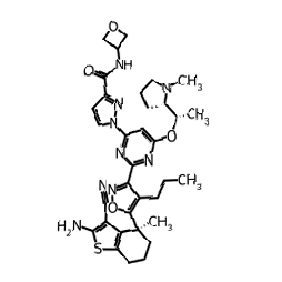 CCCc1c(-c2nc(O[C@@H](C)[C@@H]3CCCN3C)cc(-n3ccc(C(=O)NC4COC4)n3)n2)noc1[C@@]1(C)CCCc2sc(N)c(C#N)c21